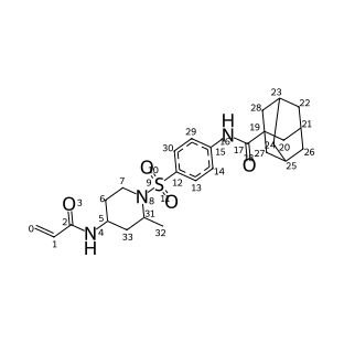 C=CC(=O)NC1CCN(S(=O)(=O)c2ccc(NC(=O)C34CC5CC(CC(C5)C3)C4)cc2)C(C)C1